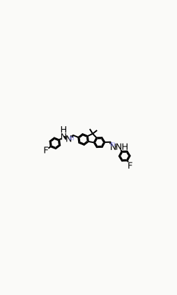 CC1(C)c2cc(/C=N/Nc3ccc(F)cc3)ccc2-c2ccc(/C=N/Nc3ccc(F)cc3)cc21